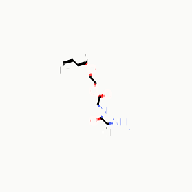 CC/C=C\C=C(/C)OCCOC(=O)CNC(=O)[C@H](C)N